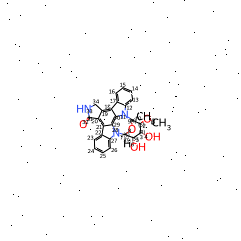 CO[C@H]1[C@H](O)[C@H](O)[C@@H]2O[C@@]1(C)n1c3ccccc3c3c4c(c5c6ccccc6n2c5c31)C(=O)NC4